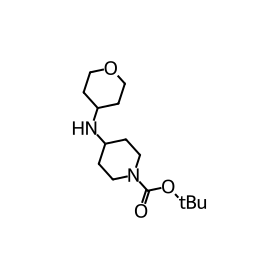 CC(C)(C)OC(=O)N1CCC(NC2CCOCC2)CC1